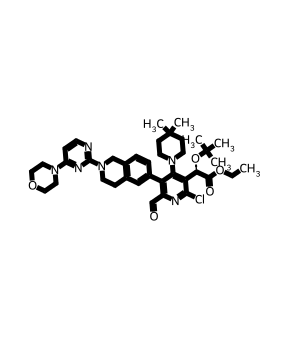 CCOC(=O)[C@@H](OC(C)(C)C)c1c(Cl)nc(C=O)c(-c2ccc3c(c2)CCN(c2nccc(N4CCOCC4)n2)C3)c1N1CCC(C)(C)CC1